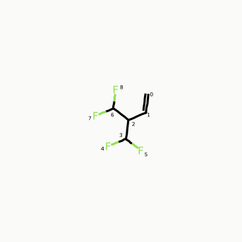 C=CC(C(F)F)C(F)F